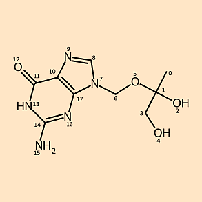 CC(O)(CO)OCn1cnc2c(=O)[nH]c(N)nc21